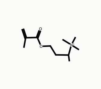 C=C(C)C(=O)OCCC(C)[N+](C)(C)C